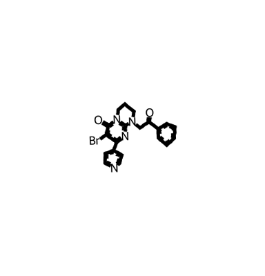 O=C(CN1CCCn2c1nc(-c1ccncc1)c(Br)c2=O)c1ccccc1